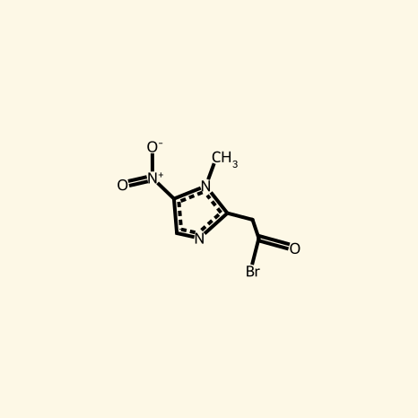 Cn1c([N+](=O)[O-])cnc1CC(=O)Br